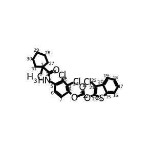 CC1(C(=O)Nc2ccc(OC(=O)Oc3sc4ccccc4c3Cl)c(Cl)c2Cl)CCCCC1